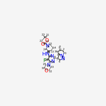 Cc1ccn2ncc(-c3nc(N[C@@H]4CCCN(C(=O)OC(C)(C)C)C4)c(F)c(N4CCOCC4)n3)c2c1